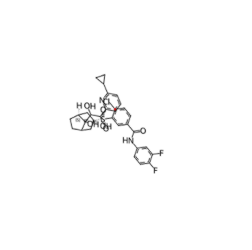 O=C(Nc1ccc(F)c(F)c1)c1ccc(Cl)c(S(=O)(=O)[C@@H]2CC3CC[C@@H](C2)[C@@]3(O)C(O)C(O)c2cccc(C3CC3)n2)c1